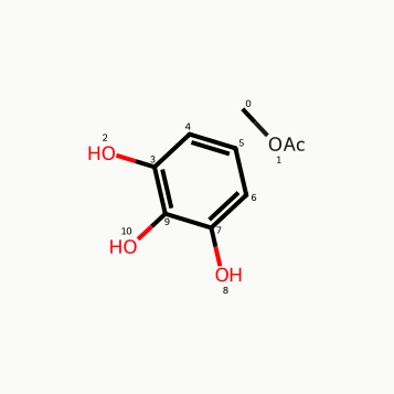 COC(C)=O.Oc1cccc(O)c1O